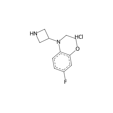 Cl.Fc1ccc2c(c1)OCCN2C1CNC1